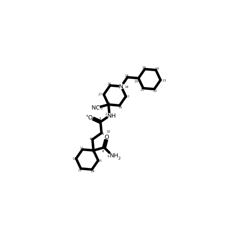 N#CC1(NC(=O)[CH]CC2(C(N)=O)CCCCC2)CCN(CC2CCCCC2)CC1